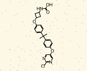 CC(C)(c1ccc(Oc2cnc(Cl)nc2)cc1)c1ccc(OC2CC(NC(=O)O)C2)cc1